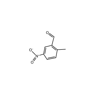 Cc1ccc([N+](=O)[O-])cc1C=O